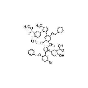 COC(=O)c1cc(-n2c(C)ccc2-c2cc(Br)ccc2OCc2ccccc2)ccc1OC.Cc1ccc(-c2cc(Br)ccc2OCc2ccccc2)n1-c1ccc(O)c(C(=O)O)c1